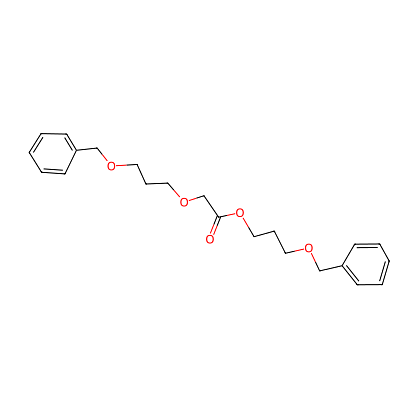 O=C(COCCCOCc1ccccc1)OCCCOCc1ccccc1